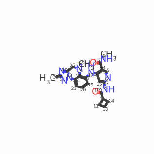 CNC(=O)c1cnc(NC(=O)C2CCC2)cc1Nc1cccc2c1N(C)Cc1nc(C)nn1-2